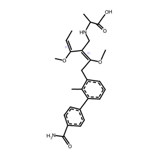 C/C=C(OC)\C(CNC(C)C(=O)O)=C(/Cc1cccc(-c2ccc(C(N)=O)cc2)c1C)OC